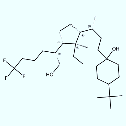 CC[C@]1(C)[C@@H]([C@H](C)CCC2(O)CCC(C(C)(C)C)CC2)CC[C@H]1[C@H](CO)CCCC(F)(F)F